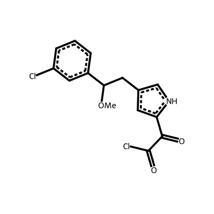 COC(Cc1c[nH]c(C(=O)C(=O)Cl)c1)c1cccc(Cl)c1